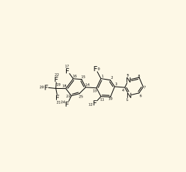 Fc1cc(-c2ncccn2)cc(F)c1-c1cc(F)c(C(F)(F)F)c(F)c1